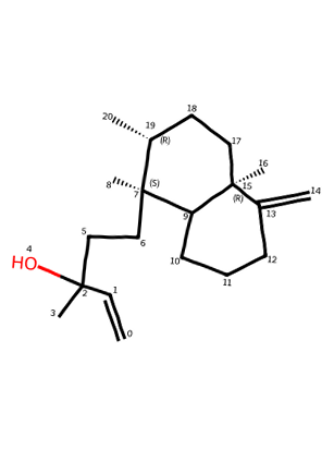 C=CC(C)(O)CC[C@]1(C)C2CCCC(=C)[C@]2(C)CC[C@H]1C